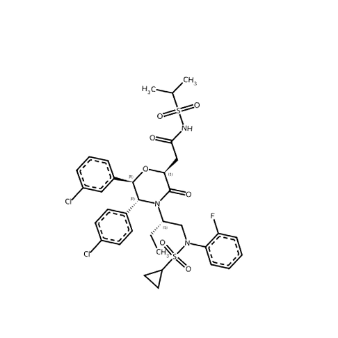 CC[C@@H](CN(c1ccccc1F)S(=O)(=O)C1CC1)N1C(=O)[C@H](CC(=O)NS(=O)(=O)C(C)C)O[C@H](c2cccc(Cl)c2)[C@H]1c1ccc(Cl)cc1